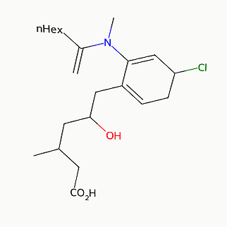 C=C(CCCCCC)N(C)C1=CC(Cl)CC=C1CC(O)CC(C)CC(=O)O